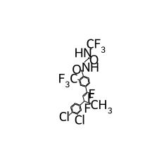 CC(F)(F)C(C=C(F)c1ccc(C(=O)NCC(=O)NCC(F)(F)F)c(C(F)(F)F)c1)c1ccc(Cl)c(Cl)c1